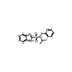 CC(C)N(Cc1ccccn1)S(=O)(=O)c1nc2ccccc2[nH]1